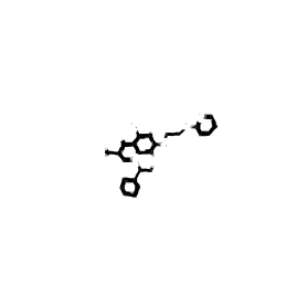 Nc1c(F)c(NCCNc2ccccn2)c2c3c1c(=O)c(C(=O)O)cn3C(c1ccccc1)CO2